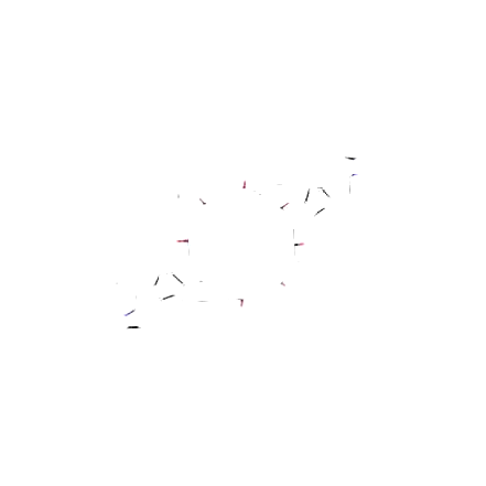 COCc1nccn1Cc1ccc(C[C@H]2OC(=O)[C@H](CC(C)C)N(C)C(=O)[C@@H](C)OC(=O)[C@H](CC(C)C)N(C)C(=O)[C@@H](Cc3ccc(Cn4ccnc4COC)cc3)OC(=O)[C@H](CC(C)C)N(C)C(=O)[C@@H](C)OC(=O)[C@H](CC(C)C)N(C)C2=O)cc1